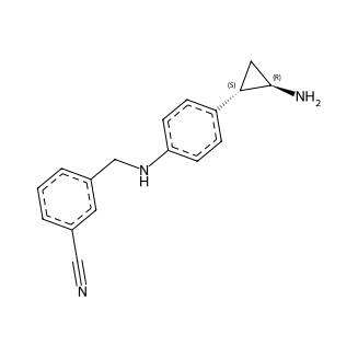 N#Cc1cccc(CNc2ccc([C@@H]3C[C@H]3N)cc2)c1